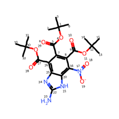 CC(C)(C)OC(=O)c1c(C(=O)OC(C)(C)C)c([N+](=O)[O-])c2[nH]c(N)nc2c1C(=O)OC(C)(C)C